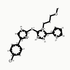 COCCCn1c(Sc2nc(-c3ccc(Cl)cc3)cs2)nnc1-c1cccs1